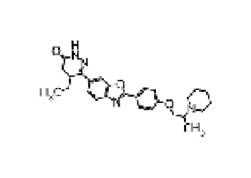 CCC1CC(=O)NN=C1c1ccc2nc(-c3ccc(OCC(C)N4CCCCC4)cc3)oc2c1